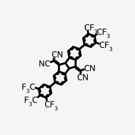 N#CC(C#N)=C1c2cc(-c3cc(C(F)(F)F)c(C(F)(F)F)c(C(F)(F)F)c3)ccc2C2C(=C(C#N)C#N)c3cc(-c4cc(C(F)(F)F)c(C(F)(F)F)c(C(F)(F)F)c4)ccc3C12